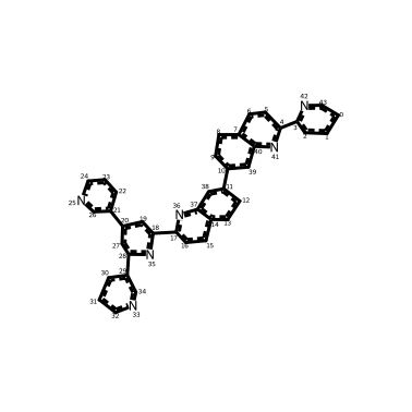 c1ccc(-c2ccc3ccc(-c4ccc5ccc(-c6cc(-c7cccnc7)cc(-c7cccnc7)n6)nc5c4)cc3n2)nc1